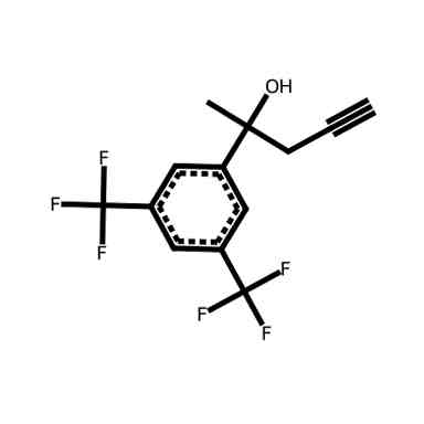 C#CCC(C)(O)c1cc(C(F)(F)F)cc(C(F)(F)F)c1